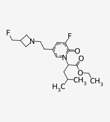 CCOC(=O)C(CC(C)C)n1cc(CCN2CC(CF)C2)cc(F)c1=O